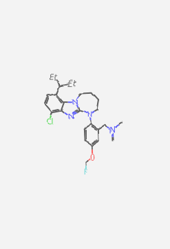 CCC(CC)c1ccc(Cl)c2nc3n(c12)CCCCN3c1ccc(OCF)cc1CN(C)C